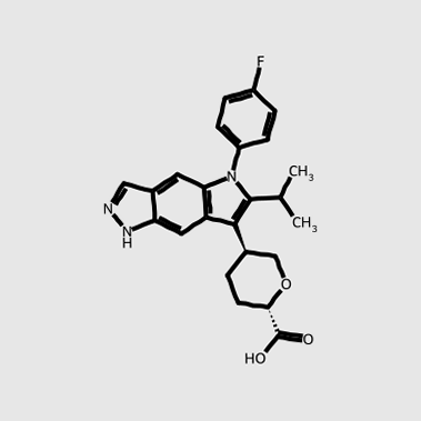 CC(C)c1c([C@@H]2CC[C@@H](C(=O)O)OC2)c2cc3[nH]ncc3cc2n1-c1ccc(F)cc1